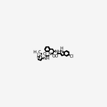 CCn1nccc1NC(=O)CN1C(=O)C(NC(=O)c2cc3cc(Cl)ccc3[nH]2)Cc2ccccc21